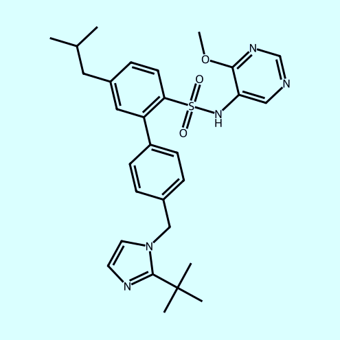 COc1ncncc1NS(=O)(=O)c1ccc(CC(C)C)cc1-c1ccc(Cn2ccnc2C(C)(C)C)cc1